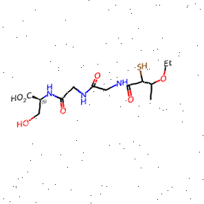 CCOC(C)C(S)C(=O)NCC(=O)NCC(=O)N[C@@H](CO)C(=O)O